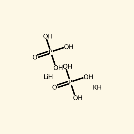 O=P(O)(O)O.O=P(O)(O)O.[KH].[LiH]